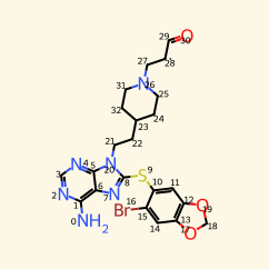 Nc1ncnc2c1nc(Sc1cc3c(cc1Br)OCO3)n2CCC1CCN(C[CH]C=O)CC1